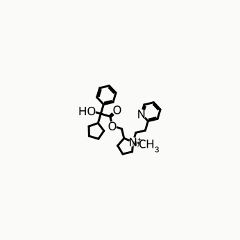 C[N@+]1(CCc2ccccn2)CCCC1COC(=O)C(O)(c1ccccc1)C1CCCC1